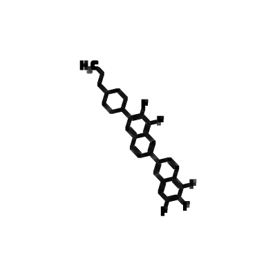 CCCC1CCC(c2cc3ccc(-c4ccc5c(F)c(F)c(F)cc5c4)cc3c(F)c2F)CC1